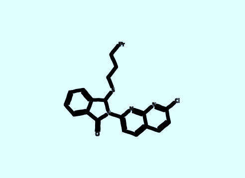 CC(C)CCCSC1c2ccccc2C(=O)N1c1ccc2ccc(Cl)nc2n1